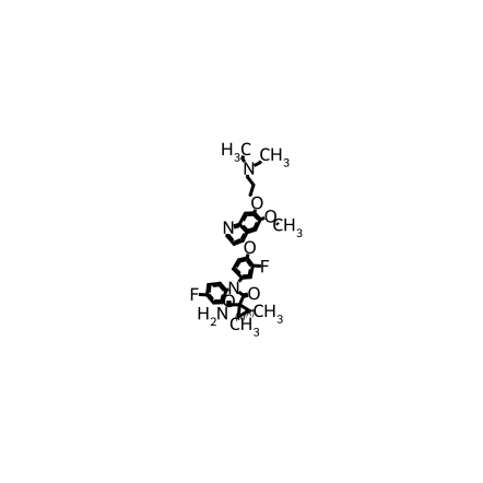 CCN(CC)CCCOc1cc2nccc(Oc3ccc(N(C(=O)C4(C(N)=O)[C@H](C)[C@H]4C)c4ccc(F)cc4)cc3F)c2cc1OC